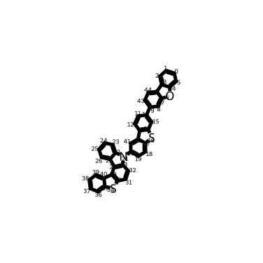 c1ccc2c(c1)oc1cc(-c3ccc4c(c3)sc3ccc(-n5c6ccccc6c6c7c(ccc65)sc5ccccc57)cc34)ccc12